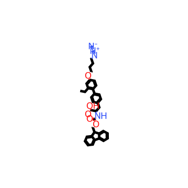 CCc1cc(OCCCCN=[N+]=[N-])ccc1-c1ccc(CC(NC(=O)OCC2c3ccccc3-c3ccccc32)C(=O)O)cc1